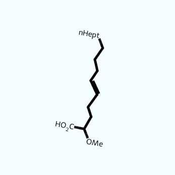 CCCCCCCCCCC=CCCC(OC)C(=O)O